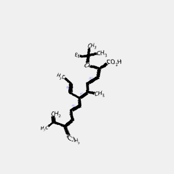 C=C(C)C(C)C/C=C/C(/C=C/C)=C(C)/C=C/C(OC(C)(C)CC)C(=O)O